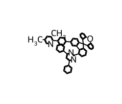 Cc1cnc(-c2ccc(-c3ccc4c(c3)-c3c(-c5nc(-c6ccccc6)cc(-c6ccccc6)n5)cccc3C43c4ccccc4Oc4ccccc43)cc2)c(C)c1